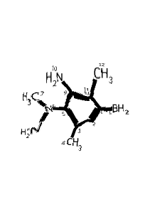 Bc1cc(C)c(N(C)N)c(N)c1C